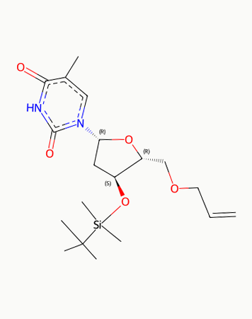 C=CCOC[C@H]1O[C@@H](n2cc(C)c(=O)[nH]c2=O)C[C@@H]1O[Si](C)(C)C(C)(C)C